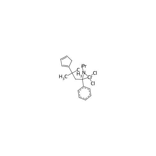 CC(C)[N]1[C](CC(C)(C)C2=CC=CC2)(c2ccccc2)[Cr]1([Cl])[Cl]